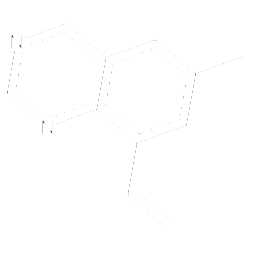 C=Cc1cc(C)cc2cncnc12